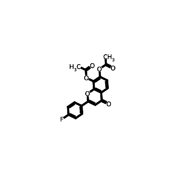 CC(=O)Oc1ccc2c(=O)cc(-c3ccc(F)cc3)oc2c1OC(C)=O